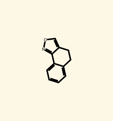 c1ccc2c(c1)CCc1conc1-2